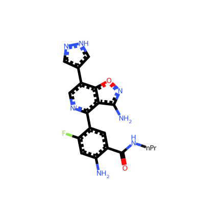 CCCNC(=O)c1cc(-c2ncc(-c3cn[nH]c3)c3onc(N)c23)c(F)cc1N